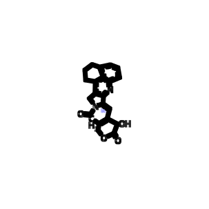 CC1=C(/C=C2/c3nc4cccc5c4c(c3CN2C=O)CCC5)C(O)C(=O)OC1